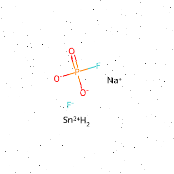 O=P([O-])([O-])F.[F-].[Na+].[SnH2+2]